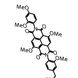 COC1=CC2C(=O)N(c3ccc(CO)cc3OC)C(=O)c3c(OC)cc4c(c32)C1C(=O)N(c1ccc(OC)cc1OC)C4=O